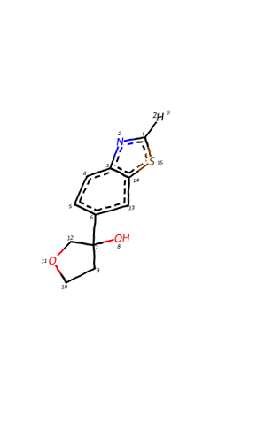 [2H]c1nc2ccc(C3(O)CCOC3)cc2s1